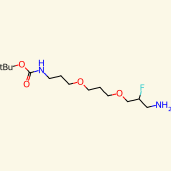 CC(C)(C)OC(=O)NCCCOCCCOCC(F)CN